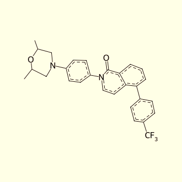 CC1CN(c2ccc(-n3ccc4c(-c5ccc(C(F)(F)F)cc5)cccc4c3=O)cc2)CC(C)O1